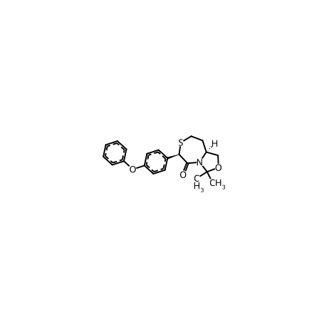 CC1(C)OC[C@@H]2CCS[C@H](c3ccc(Oc4ccccc4)cc3)C(=O)N21